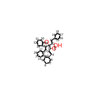 OOC(C=Cc1ccccc1)C(C=Cc1ccccc1)(C=Cc1ccccc1)Oc1ccccc1